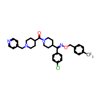 O=C(C1CCN(Cc2ccncc2)CC1)N1CCC(C(=NOCc2ccc(C(F)(F)F)cc2)c2ccc(Cl)cc2)CC1